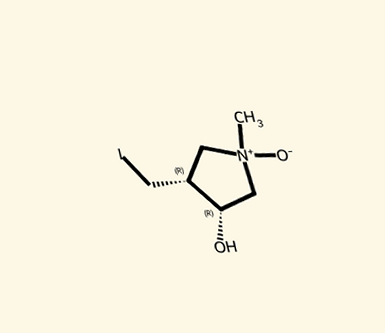 C[N+]1([O-])C[C@@H](CI)[C@@H](O)C1